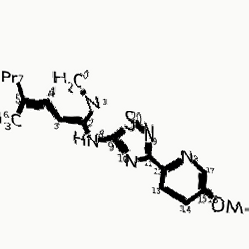 C=N/C(=C\C=C(/C)C(C)C)Nc1nc(-c2ccc(OC)cn2)ns1